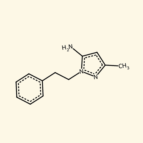 Cc1cc(N)n(CCc2ccccc2)n1